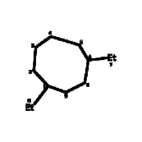 [CH2]CC1CCCCC(CC)CC1